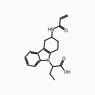 C=CC(=O)NC1CCc2c(c3ccccc3n2C(CC)C(=O)O)C1